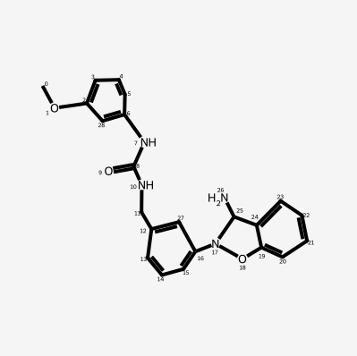 COc1cccc(NC(=O)NCc2cccc(N3Oc4ccccc4C3N)c2)c1